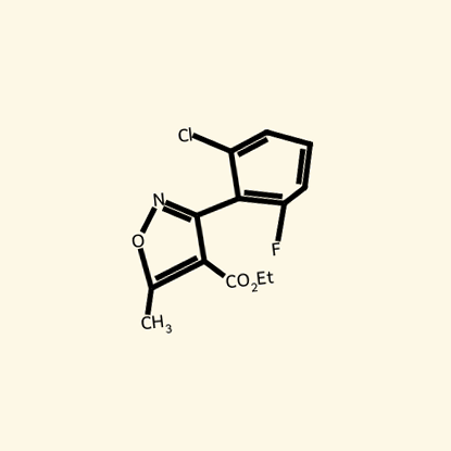 CCOC(=O)c1c(-c2c(F)cccc2Cl)noc1C